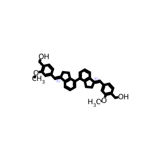 COc1cc(/C=C2\CCc3c2cccc3-c2cccc3c2CC/C3=C\c2ccc(CO)c(OC)c2)ccc1CO